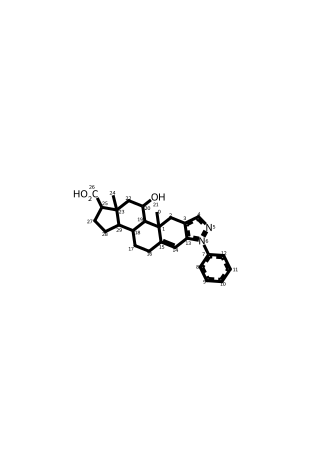 CC12Cc3cnn(-c4ccccc4)c3C=C1CCC1C2C(O)CC2(C)C(C(=O)O)CCC12